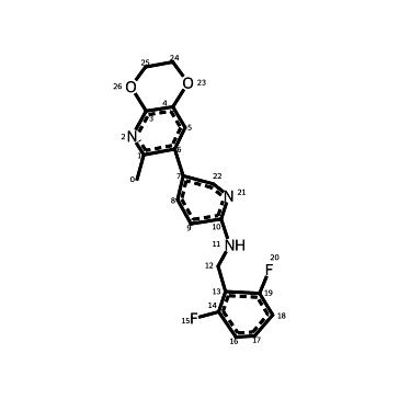 Cc1nc2c(cc1-c1ccc(NCc3c(F)cccc3F)nc1)OCCO2